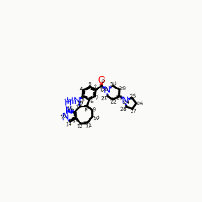 O=C(c1ccc2c(c1)C1CCCCc3cn[nH]c3C1N2)N1CCC(N2CCCC2)CC1